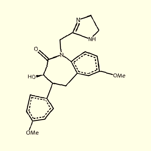 COc1ccc(C2Cc3cc(OC)ccc3N(CC3=NCCN3)C(=O)[C@@H]2O)cc1